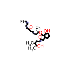 CC/C=C\C=C/C(=O)C/C=C/CC(C)OC(=O)c1c(O)cccc1C/C=C/CC(C)C(C)O